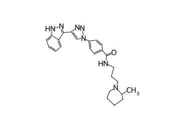 CC1CCCCN1CCCNC(=O)c1ccc(-n2cc(-c3n[nH]c4ccccc34)nn2)cc1